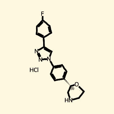 Cl.Fc1ccc(-c2cn(-c3ccc([C@H]4CNCCO4)cc3)nn2)cc1